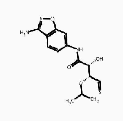 CC(C)O[C@@H](C=S)[C@@H](O)C(=O)Nc1ccc2c(N)noc2c1